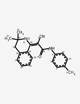 Cc1ccc(NC(=O)/C(C#N)=C2/NC(C)(C)Cc3ccccc32)cc1